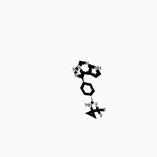 FC(F)(F)C1(NC[C@H]2CC[C@H](c3nnn4cnc5[nH]ccc5c34)CC2)CC1